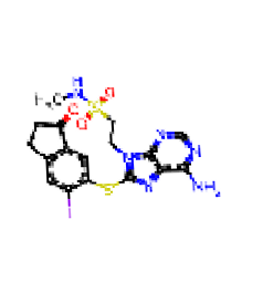 CNS(=O)(=O)CCn1c(Sc2cc3c(cc2I)CCC3=O)nc2c(N)ncnc21